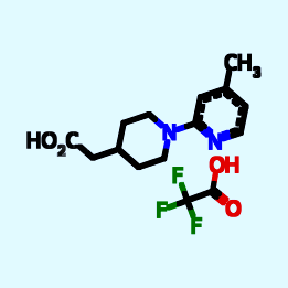 Cc1ccnc(N2CCC(CC(=O)O)CC2)c1.O=C(O)C(F)(F)F